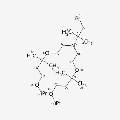 CC(C)CC(C)(C)N(CCOC(C)(C)CCOC(C)C)CCOC(C)(C)CCOC(C)C